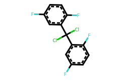 Fc1ccc(F)c(C(Cl)(Cl)c2cc(F)ccc2F)c1